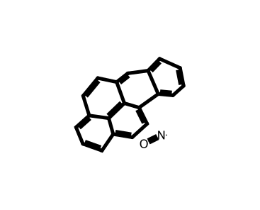 [N]=O.c1ccc2c(c1)cc1ccc3cccc4ccc2c1c34